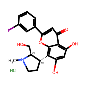 CN1CC[C@@H](c2c(O)cc(O)c3c(=O)cc(-c4cccc(I)c4)oc23)[C@@H]1CO.Cl